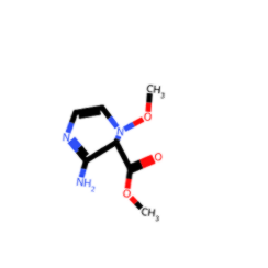 COC(=O)C1C(N)=NC=CN1OC